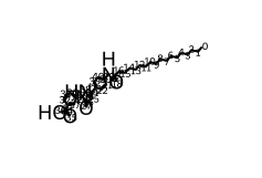 CCCCCCCCCCCCCCCCCC(=O)Nc1ccc(-c2cc(=O)n(-c3cccc(C(=O)O)c3)[nH]2)cc1